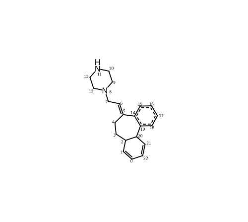 C1=CC2CCC(=CCN3CCNCC3)c3ccccc3C2C=C1